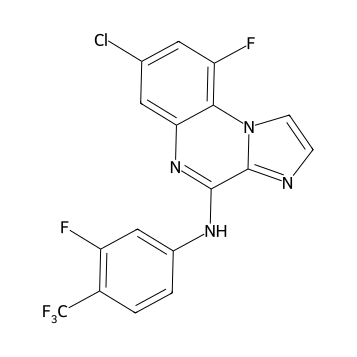 Fc1cc(Nc2nc3cc(Cl)cc(F)c3n3ccnc23)ccc1C(F)(F)F